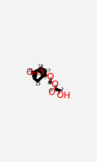 O=C(CO)OCOC1C2CC3CC(C2)C(=O)OC1C3